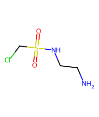 NCCNS(=O)(=O)CCl